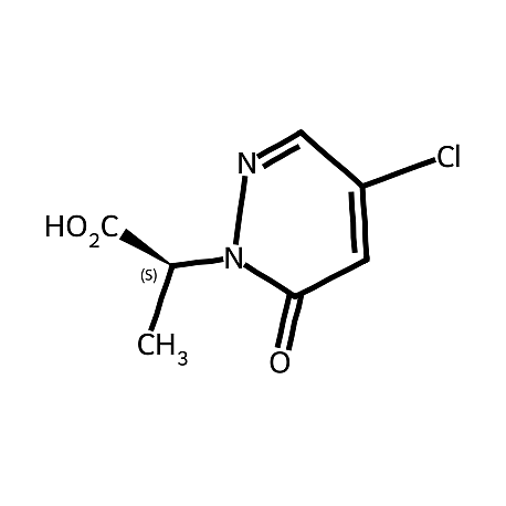 C[C@@H](C(=O)O)n1ncc(Cl)cc1=O